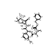 C[C@@H](C(=O)NC(C(=O)N[C@@H]1C(=O)N2[C@@H]1SC(C)(C)[C@@H]2C(=O)O)c1cccc(N)c1)N(C)C(=O)OCc1ccccc1